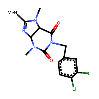 CNC1=NC2C(C(=O)N(Cc3ccc(Cl)c(Cl)c3)C(=O)N2C)N1C